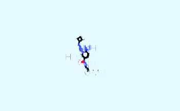 COCCNC(=O)C1=C(C)/C(=C/NCC2CCC2)C(=N)C=C1